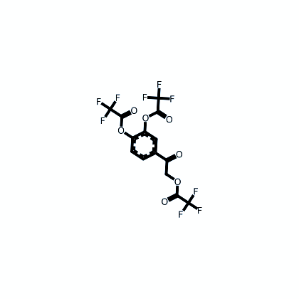 O=C(COC(=O)C(F)(F)F)c1ccc(OC(=O)C(F)(F)F)c(OC(=O)C(F)(F)F)c1